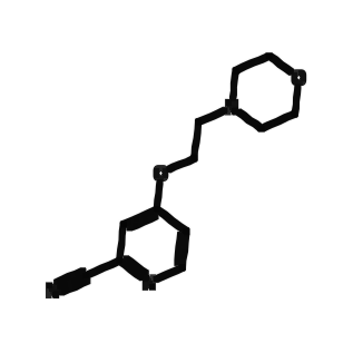 N#Cc1cc(OCCN2CCOCC2)ccn1